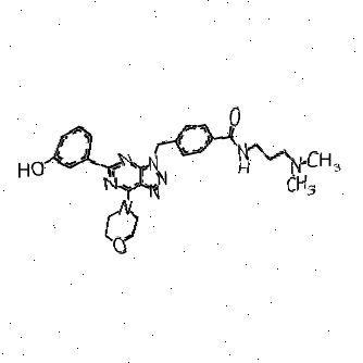 CN(C)CCCNC(=O)c1ccc(Cn2nnc3c(N4CCOCC4)nc(-c4cccc(O)c4)nc32)cc1